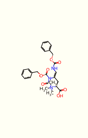 C[N+](C)(C)[C@@H](C/C(=C/NC(=O)OCc1ccccc1)N(C=O)C(=O)OCc1ccccc1)C(=O)O